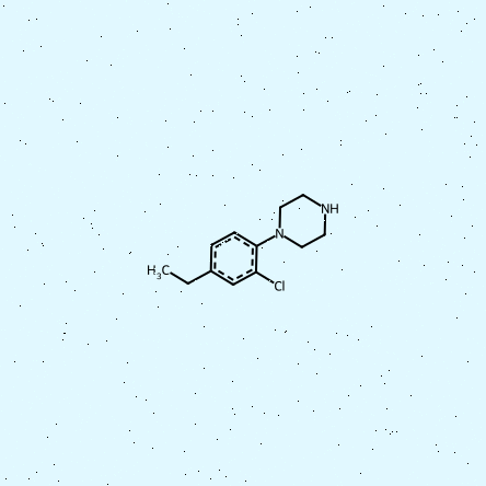 CCc1ccc(N2CCNCC2)c(Cl)c1